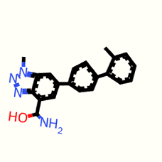 Cc1ccccc1-c1ccc(-c2cc(C(N)O)c3nnn(C)c3c2)cc1